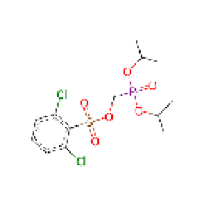 CC(C)OP(=O)(COS(=O)(=O)c1c(Cl)cccc1Cl)OC(C)C